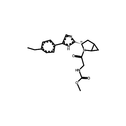 CCc1ccc(-c2cnc([C@@H]3CC4CC4N3C(=O)CNC(=O)OC)[nH]2)cc1